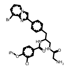 CC(C)Oc1ccc(C(=O)NC(CNC(=O)CN)Cc2ccc(-c3cn4cccc(Br)c4n3)cc2)cc1Cl